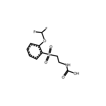 O=C(O)NCCS(=O)(=O)c1ccccc1OC(F)F